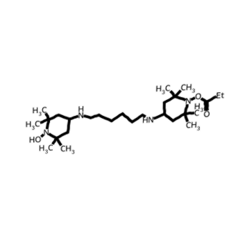 CCC(=O)ON1C(C)(C)CC(NCCCCCCNC2CC(C)(C)N(O)C(C)(C)C2)CC1(C)C